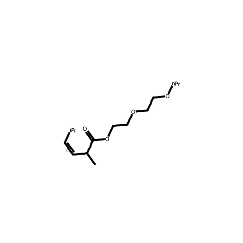 CCCOCCOCCOC(=O)C(C)/C=C\C(C)C